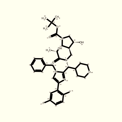 C[C@H](O)C(=O)N(C[C@H]1CN(C(=O)OC(C)(C)C)C[C@@H]1O)[C@@H](c1nc(-c2cc(F)ccc2F)cn1Cc1ccccc1)C1CCOCC1